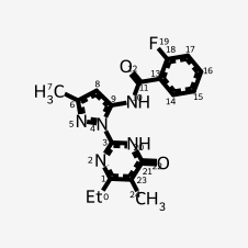 CCc1nc(-n2nc(C)cc2NC(=O)c2ccccc2F)[nH]c(=O)c1C